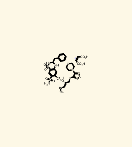 CC(C)(C)NC[C@H](O)COc1nsnc1N1CCOCC1.NS(=O)(=O)c1cc2c(cc1C(F)(F)F)NC(Cc1ccccc1)NS2(=O)=O.O=C(O)/C=C\C(=O)O